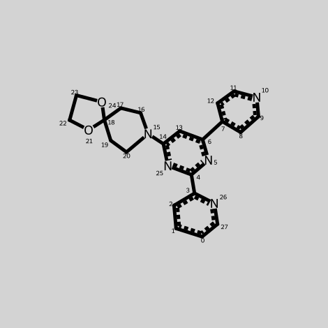 c1ccc(-c2nc(-c3ccncc3)cc(N3CCC4(CC3)OCCO4)n2)nc1